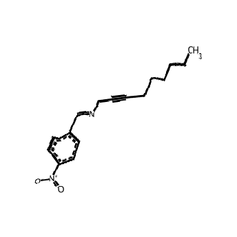 CCCCCCC#CCN=Cc1ccc([N+](=O)[O-])cc1